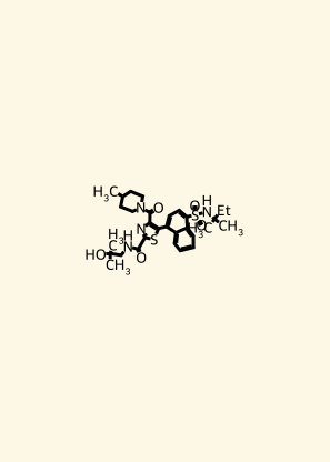 CCC(C)(C)NS(=O)(=O)c1ccc(-c2sc(C(=O)NCC(C)(C)O)nc2C(=O)N2CCC(C)CC2)c2ccccc12